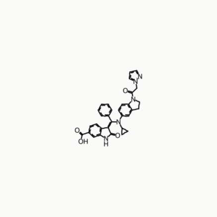 O=C1Nc2cc(C(=O)O)ccc2/C1=C(\c1ccccc1)N(c1ccc2c(c1)CCN2C(=O)Cn1cccn1)C1CC1